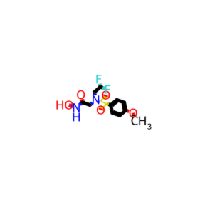 COc1ccc(S(=O)(=O)N(CC(=O)NO)CC(F)F)cc1